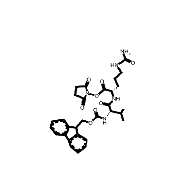 CC(C)[C@H](NC(=O)OCC1c2ccccc2-c2ccccc21)C(=O)N[C@@H](CCCNC(N)=O)C(=O)ON1C(=O)CCC1=O